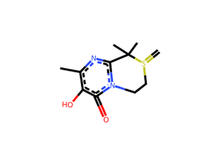 C=S1CCn2c(nc(C)c(O)c2=O)C1(C)C